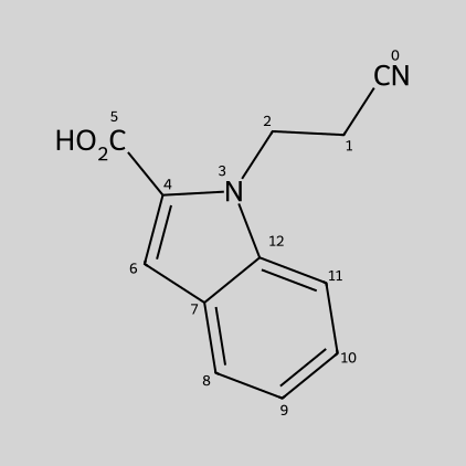 N#CCCn1c(C(=O)O)cc2ccccc21